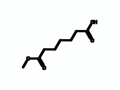 COC(=O)CCCCCC(=O)O